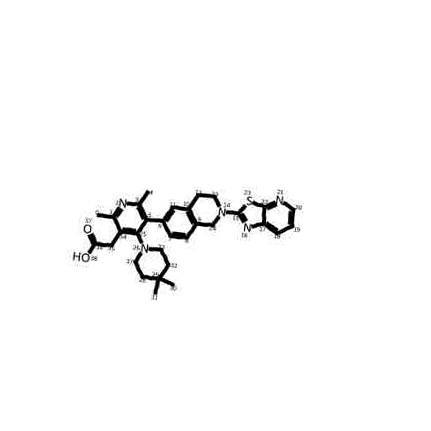 Cc1nc(C)c(-c2ccc3c(c2)CCN(c2nc4cccnc4s2)C3)c(N2CCC(C)(C)CC2)c1CC(=O)O